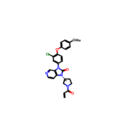 C=CC(=O)N1CC[C@@H](n2c(=O)n(-c3ccc(Oc4ccc(OC)cc4)c(Cl)c3)c3cnccc32)C1